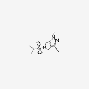 Cc1nn(C)c2c1CN(S(=O)(=O)C(C)C)C2